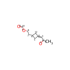 CC(=O)C=C1CC(CCOC=O)C1